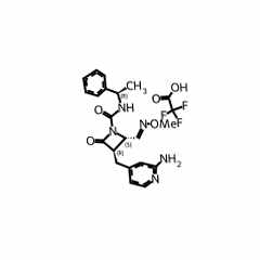 CON=C[C@@H]1[C@@H](Cc2ccnc(N)c2)C(=O)N1C(=O)N[C@H](C)c1ccccc1.O=C(O)C(F)(F)F